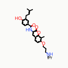 CC(C)=CCc1cc(C(=O)Nc2cc3ccc(OCCCNC(C)C)c(C)c3oc2=O)ccc1O